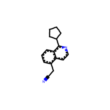 N#CCc1cccc2c(C3CCCC3)nccc12